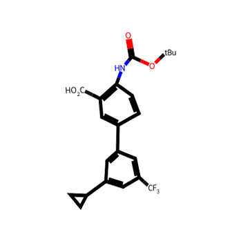 CC(C)(C)OC(=O)Nc1ccc(-c2cc(C3CC3)cc(C(F)(F)F)c2)cc1C(=O)O